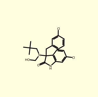 CC(C)(C)CN(CO)C1(Cc2cccc(Cl)c2)C(=O)Nc2cc(Cl)ccc21